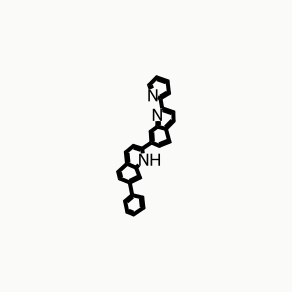 C1=CC2=CC=C(c3ccc4ccc(-c5ccccn5)nc4c3)NC2C=C1c1ccccc1